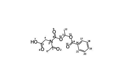 CC(=O)N(CC(=O)O)C(=O)OC(C)OC(=O)c1ccccc1